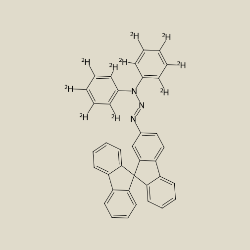 [2H]c1c([2H])c([2H])c(N(N=Nc2ccc3c(c2)C2(c4ccccc4-c4ccccc42)c2ccccc2-3)c2c([2H])c([2H])c([2H])c([2H])c2[2H])c([2H])c1[2H]